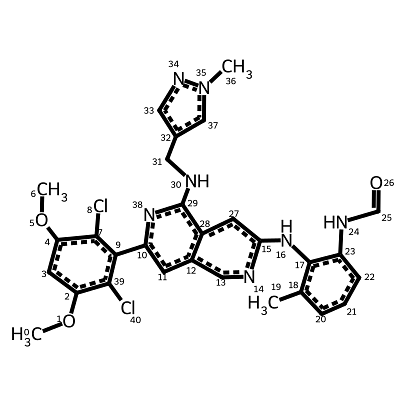 COc1cc(OC)c(Cl)c(-c2cc3cnc(Nc4c(C)cccc4NC=O)cc3c(NCc3cnn(C)c3)n2)c1Cl